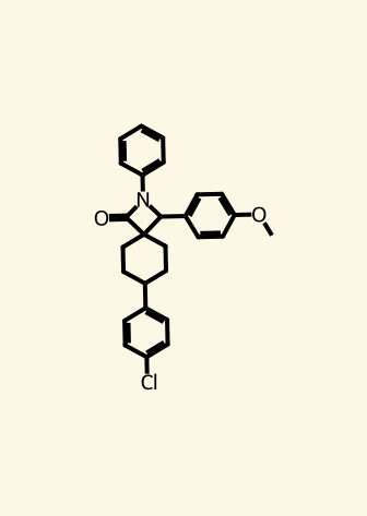 COc1ccc(C2N(c3ccccc3)C(=O)C23CCC(c2ccc(Cl)cc2)CC3)cc1